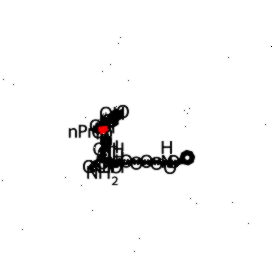 CCCC1O[C@@H]2C[C@H]3[C@@H]4CCC5=CC(=O)C=C[C@]5(C)C4[C@@H](O)C[C@]3(C)[C@]2(C(=O)COc2ccc(NC(=O)[C@H](CCCNC(N)=O)NC(=O)[C@@H](NC(=O)CCOCCOCCOCCOCCNC(=O)OCC3C4CCCCCCC43)C(C)C)cc2)O1